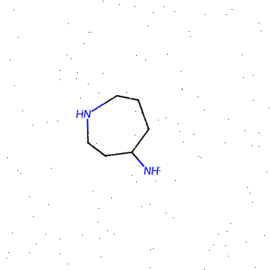 [NH]C1CCCNCC1